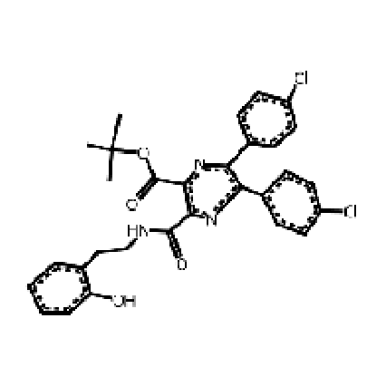 CC(C)(C)OC(=O)c1nc(-c2ccc(Cl)cc2)c(-c2ccc(Cl)cc2)nc1C(=O)NCCc1ccccc1O